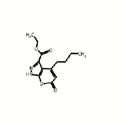 CCCCc1cc(=O)oc2[nH]nc(C(=O)OCC)c12